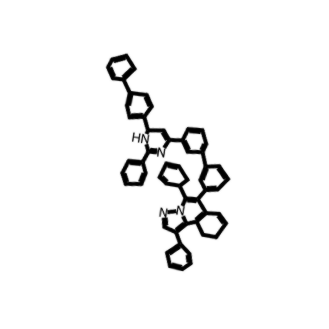 C1=CCC(c2c(-c3cccc(-c4cccc(C5=CC(c6ccc(-c7ccccc7)cc6)NC(c6ccccc6)=N5)c4)c3)c3c(c4c(-c5ccccc5)cnn24)CCC=C3)C=C1